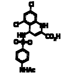 CC(=O)Nc1ccc(S(=O)(=O)NC2C=C(C(=O)O)Nc3cc(Cl)cc(Cl)c32)cc1